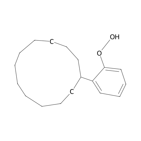 OOc1ccccc1C1CCCCCCCCCCC1